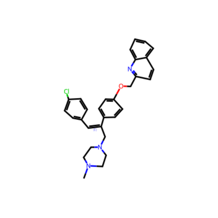 CN1CCN(C/C(=C/c2ccc(Cl)cc2)c2ccc(OCc3ccc4ccccc4n3)cc2)CC1